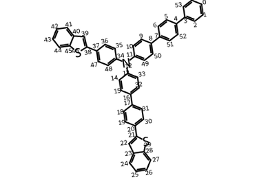 c1ccc(-c2ccc(-c3ccc(N(c4ccc(-c5ccc(-c6cc7ccccc7s6)cc5)cc4)c4ccc(-c5cc6ccccc6s5)cc4)cc3)cc2)cc1